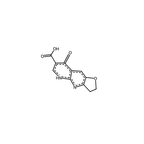 O=C(O)c1c[nH]c2nc3c(cc2c1=O)OCC3